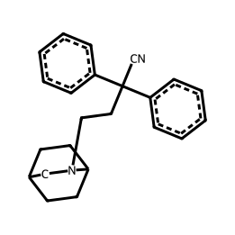 N#CC(CCN1CC2CCC1CC2)(c1ccccc1)c1ccccc1